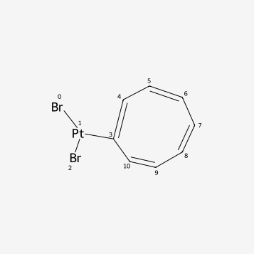 [Br][Pt]([Br])[C]1=CC=CC=CC=C1